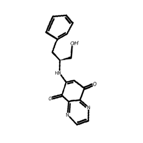 O=C1C=C(N[C@H](CO)Cc2ccccc2)C(=O)c2nccnc21